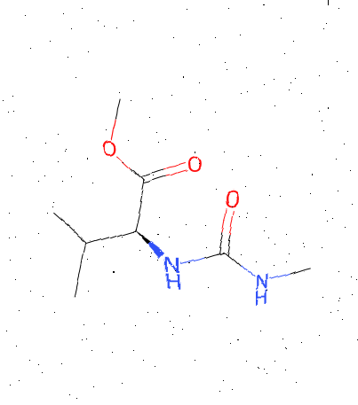 CNC(=O)N[C@H](C(=O)OC)C(C)C